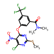 CSc1nc(Cl)c([N+](=O)[O-])c(Oc2cc(C(=O)N(C)C)cc(C(F)(F)F)c2)n1